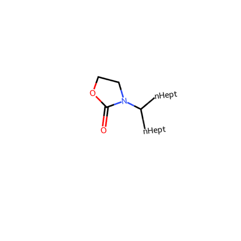 CCCCCCCC(CCCCCCC)N1CCOC1=O